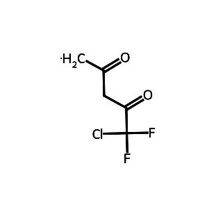 [CH2]C(=O)CC(=O)C(F)(F)Cl